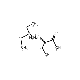 C=C(CC)C(=O)O.CCC(N)CC